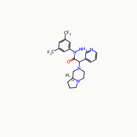 NN(C(=O)C(c1cccnc1)N1CCN2CCC[C@H]2C1)c1cc(C(F)(F)F)cc(C(F)(F)F)c1